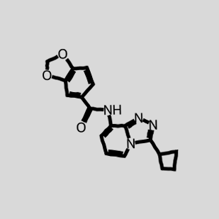 O=C(Nc1cccn2c(C3CCC3)nnc12)c1ccc2c(c1)OCO2